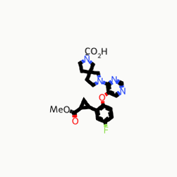 COC(=O)C1CC1c1cc(F)ccc1Oc1cncnc1N1CCC2(CCN(C(=O)O)C2)C1